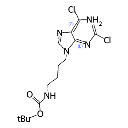 C=C(Cl)/N=C1\C(=C(/N)Cl)N=CN1CCCCNC(=O)OC(C)(C)C